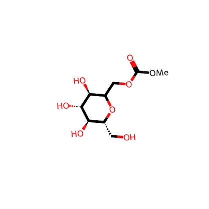 COC(=O)OCC1O[C@H](CO)[C@@H](O)[C@H](O)[C@H]1O